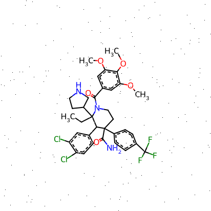 CCC1(C2CCNC2)C(c2ccc(Cl)c(Cl)c2)C(C(N)=O)(c2ccc(C(F)(F)F)cc2)CCN1C(=O)c1cc(OC)c(OC)c(OC)c1